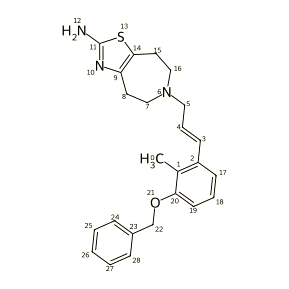 Cc1c(C=CCN2CCc3nc(N)sc3CC2)cccc1OCc1ccccc1